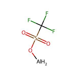 O=S(=O)([O][AlH2])C(F)(F)F